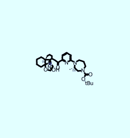 C[C@H]1CN(C(=O)OC(C)(C)C)CCCN1c1cccc(C(=O)C2CCC[C@@]3(CCCCC34OCCO4)/C2=N/O)n1